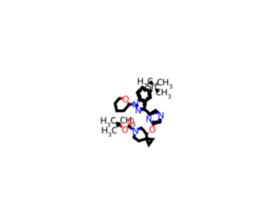 CC(C)(C)OC(=O)N1CCC2(CC2)[C@@H](Oc2cncc(-c3nn(C4CCCCO4)c4cc[c]([Sn]([CH3])([CH3])[CH3])cc34)n2)C1